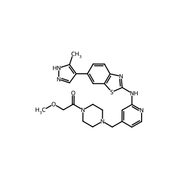 COCC(=O)N1CCN(Cc2ccnc(Nc3nc4ccc(-c5cn[nH]c5C)cc4s3)c2)CC1